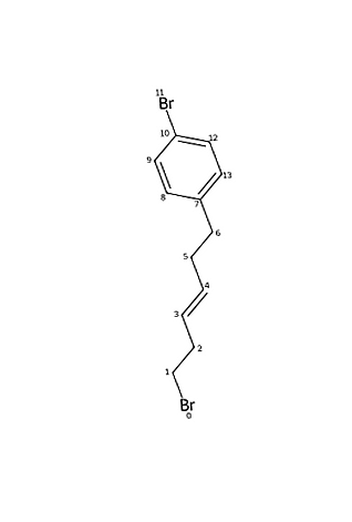 BrCC/C=C/CCc1ccc(Br)cc1